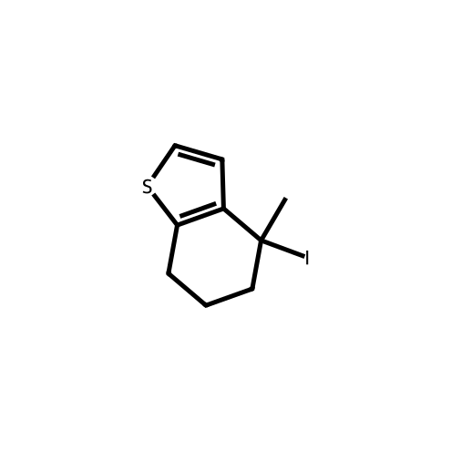 CC1(I)CCCc2sccc21